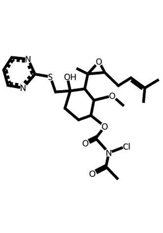 COC1C(OC(=O)N(Cl)C(C)=O)CCC(O)(CSc2ncccn2)C1C1(C)OC1CC=C(C)C